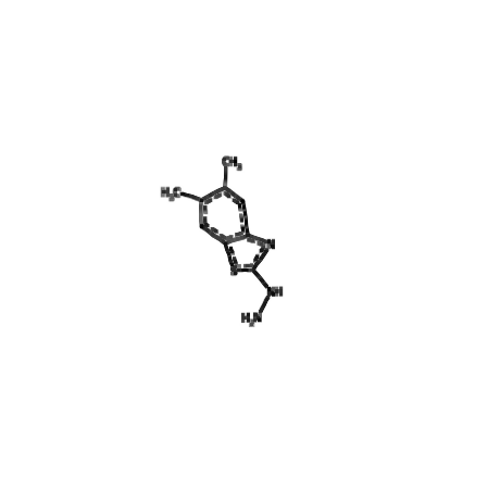 Cc1cc2nc(NN)sc2cc1C